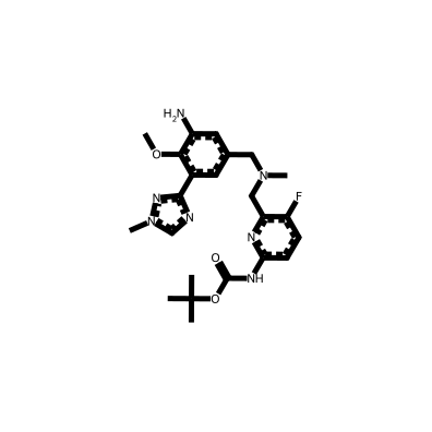 COc1c(N)cc(CN(C)Cc2nc(NC(=O)OC(C)(C)C)ccc2F)cc1-c1ncn(C)n1